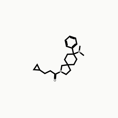 CN(C)C1(c2ccccc2)CCC2(CCN(C(=O)CCC3CC3)C2)CC1